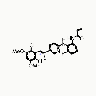 C=CC(=O)Nc1cccc(F)c1Nc1ccc(/C(F)=C/c2c(Cl)c(OC)cc(OC)c2Cl)cn1